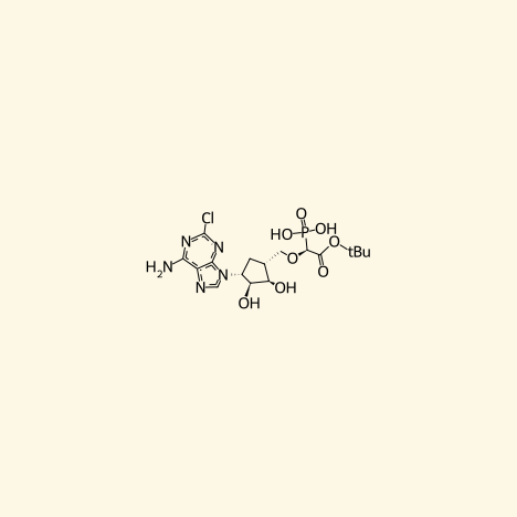 CC(C)(C)OC(=O)[C@@H](OC[C@H]1C[C@@H](n2cnc3c(N)nc(Cl)nc32)[C@H](O)[C@@H]1O)P(=O)(O)O